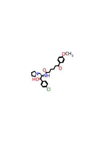 COc1ccc(C(=O)CCCCC(=O)N[C@H](CN2CCCC2)[C@@H](O)c2ccc(Cl)cc2)cc1